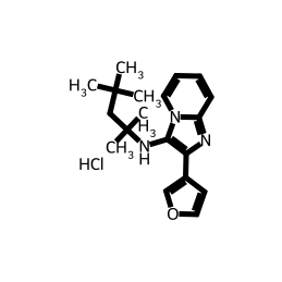 CC(C)(C)CC(C)(C)Nc1c(-c2ccoc2)nc2ccccn12.Cl